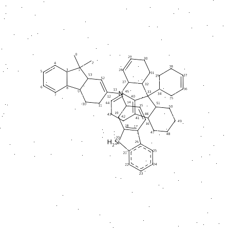 CC1(C)C2C=CC=CC2C2CCC(N(C3C=CC4=C(C3)[SiH2]c3ccccc34)C3C=CCCC3C3(C4CC=CCC4)C4=C(CCC=C4)C4CCCCC43)=CC21